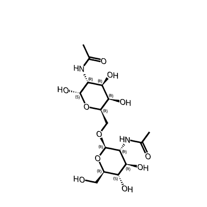 CC(=O)N[C@@H]1[C@@H](O)[C@@H](O)[C@@H](CO[C@@H]2O[C@H](CO)[C@@H](O)[C@H](O)[C@H]2NC(C)=O)O[C@@H]1O